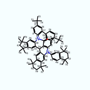 Cc1cc2c3c(c1)N(c1ccc(C(C)(C)C)cc1-c1ccc(C(C)(C)C)cc1)c1cc4c(cc1C3c1cc3c(cc1N2c1ccc2c(c1)C(C)(C)CCC2(C)C)C(C)(C)CCC3(C)C)C(C)(C)CC4(C)C